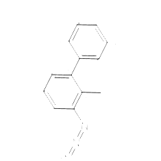 Cc1c(N=[N+]=[N-])cccc1-c1ccccc1